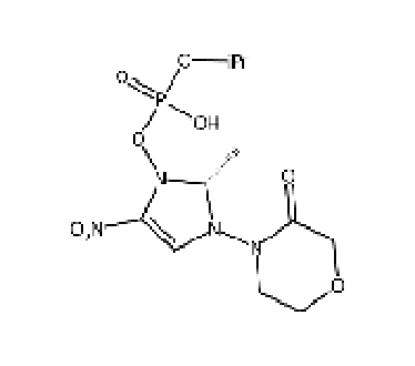 CC(C)OP(=O)(O)ON1C([N+](=O)[O-])=CN(N2CCOCC2=O)[C@H]1C